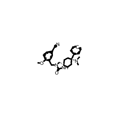 COc1ccc(C#N)cc1CN1C[C@]2(CC[C@@](c3ccccc3)(N(C)C)CC2)NC1=O